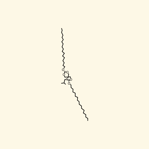 CCCCCCCCCCCCCCCCCCOP1OCC2(CO1)COP(OCCCCCCCCCCCCCCCCCC)N2CC(C)C